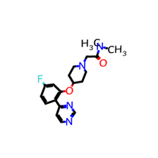 CN(C)C(=O)CN1CCC(Oc2cc(F)ccc2-c2ccncn2)CC1